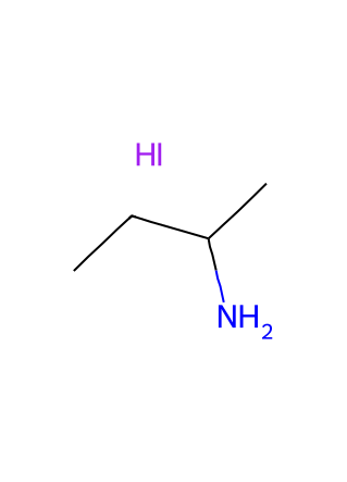 CCC(C)N.I